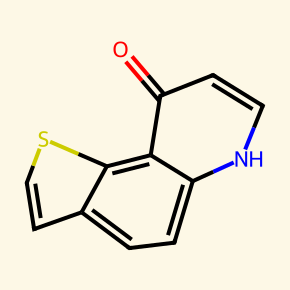 O=c1cc[nH]c2ccc3ccsc3c12